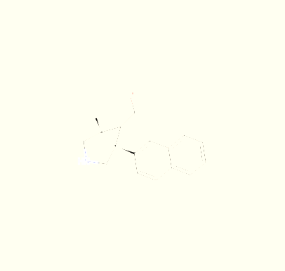 OCC1[C@H]2CNC[C@@]12c1ccc2ccccc2c1